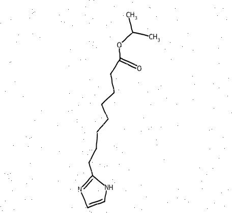 CC(C)OC(=O)CCCCCCCc1n[c]c[nH]1